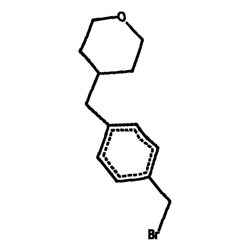 BrCc1ccc(CC2CCOCC2)cc1